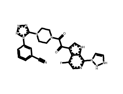 N#CC1=C=C=CC(n2nnnc2N2CCN(C(=O)C(=O)c3c[nH]c4c(N5C=CNN5)ncc(F)c34)CC2)=C1